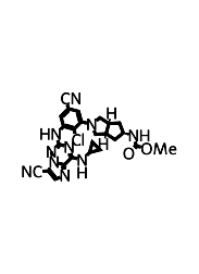 COC(=O)N[C@@H]1C[C@@H]2CN(c3cc(C#N)cc(Nc4nc(NC5CC5)c5ncc(C#N)n5n4)c3Cl)C[C@@H]2C1